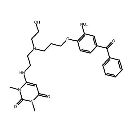 Cn1c(NCCN(CCO)CCCOc2ccc(C(=O)c3ccccc3)cc2[N+](=O)[O-])cc(=O)n(C)c1=O